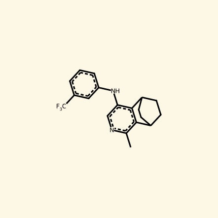 Cc1ncc(Nc2cccc(C(F)(F)F)c2)c2c1C1CCC2CC1